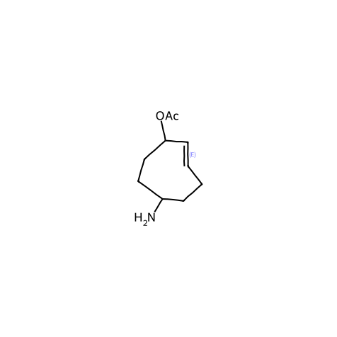 CC(=O)OC1/C=C/CCC(N)CC1